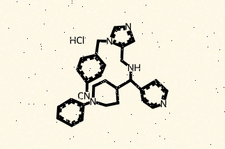 Cl.N#Cc1ccc(Cn2cncc2CNC(c2ccncc2)C2CCN(c3ccccc3)CC2)cc1